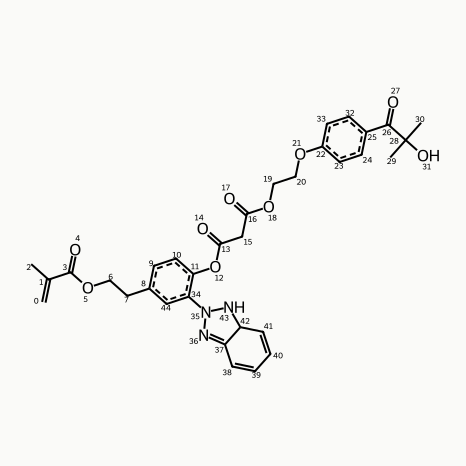 C=C(C)C(=O)OCCc1ccc(OC(=O)CC(=O)OCCOc2ccc(C(=O)C(C)(C)O)cc2)c(N2N=C3C=CC=CC3N2)c1